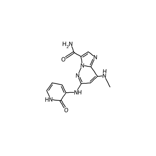 CNc1cc(Nc2ccc[nH]c2=O)nn2c(C(N)=O)cnc12